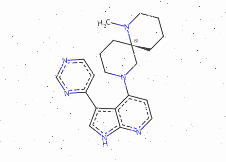 CN1CCCC[C@@]12CCCN(c1ccnc3[nH]cc(-c4ccncn4)c13)C2